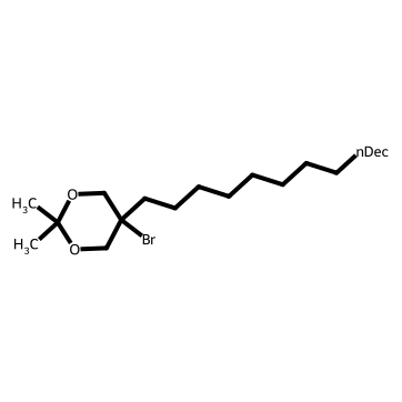 CCCCCCCCCCCCCCCCCCC1(Br)COC(C)(C)OC1